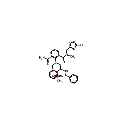 Cc1csc(CN(C)C(=O)c2cccc(C(N)=O)c2C(Cc2ccccc2)CC(CS(C)(=O)=O)NCc2ccccc2)n1